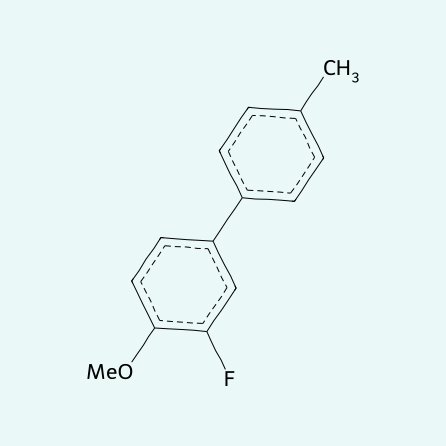 COc1ccc(-c2ccc(C)cc2)cc1F